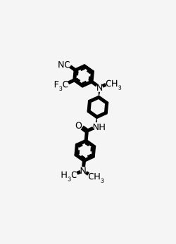 CN(C)c1ccc(C(=O)N[C@H]2CC[C@@H](N(C)c3ccc(C#N)c(C(F)(F)F)c3)CC2)cc1